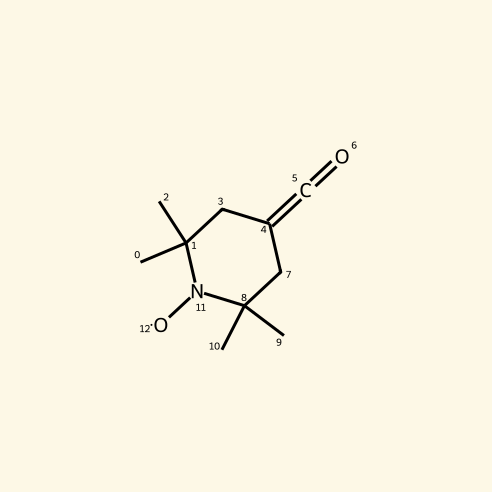 CC1(C)CC(=C=O)CC(C)(C)N1[O]